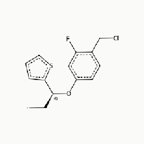 [CH2]C[C@H](Oc1ccc(CCl)c(F)c1)c1cccs1